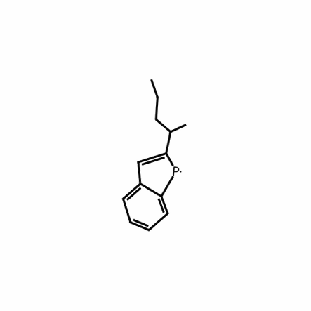 CCCC(C)C1=Cc2ccccc2[P]1